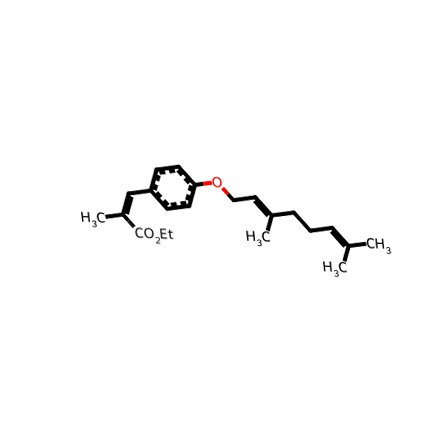 CCOC(=O)/C(C)=C\c1ccc(OC/C=C(\C)CCC=C(C)C)cc1